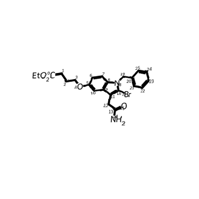 CCOC(=O)CCCOc1ccc2c(c1)c(CC(N)=O)c(Br)n2Cc1ccccc1